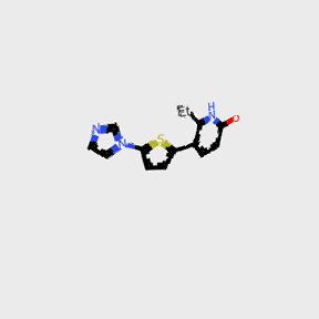 CCc1[nH]c(=O)ccc1-c1ccc(-n2ccnc2)s1